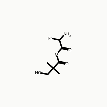 CC(C)C(N)C(=O)OC(=O)C(C)(C)CO